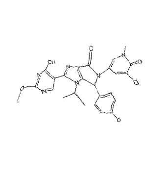 COc1ncc(-c2nc3c(n2C(C)C)C(c2ccc(Cl)cc2)N(c2cc(Cl)c(=O)n(C)c2)C3=O)c(O)n1